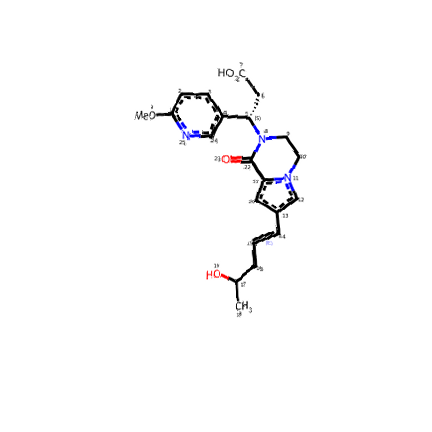 COc1ccc([C@H](CC(=O)O)N2CCn3cc(/C=C/CC(C)O)cc3C2=O)cn1